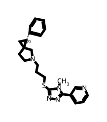 Cn1c(SCCCN2CCC3(C[C@@H]3c3ccccc3)C2)nnc1-c1cccnc1